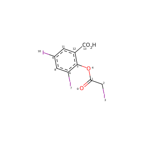 O=C(CI)Oc1c(I)cc(I)cc1C(=O)O